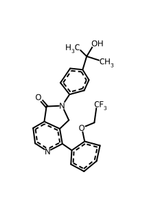 CC(C)(O)c1ccc(N2Cc3c(ccnc3-c3ccccc3OCC(F)(F)F)C2=O)cc1